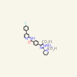 CCOC(=O)c1c(-c2ccc(C(=O)Nc3cc(-c4ccc(F)cc4)ccn3)cc2)nc([C@@H]2CCCCN2C(=O)O)n1N